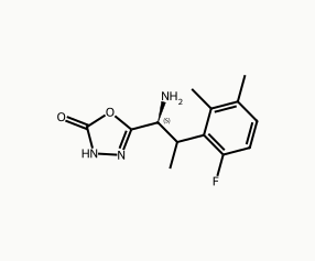 Cc1ccc(F)c(C(C)[C@H](N)c2n[nH]c(=O)o2)c1C